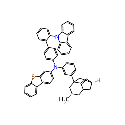 C[C@H]1CC2C[C@@H]3C=C2C(c2cccc(N(c4ccc(-c5ccccc5-n5c6ccccc6c6ccccc65)cc4)c4ccc5c(c4)sc4ccccc45)c2)(C1)C3